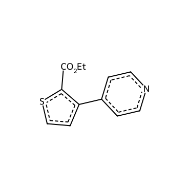 CCOC(=O)c1sccc1-c1ccncc1